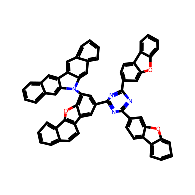 c1ccc2cc3c(cc2c1)c1cc2ccccc2cc1n3-c1cc(-c2nc(-c3ccc4c(c3)oc3ccccc34)nc(-c3ccc4c(c3)oc3ccccc34)n2)cc2c1oc1c3ccccc3ccc21